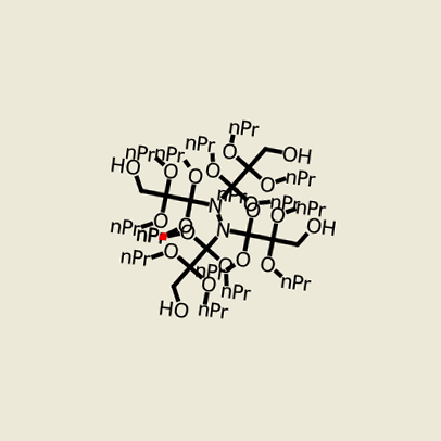 CCCOC(CO)(OCCC)C(OCCC)(OCCC)N(N(C(OCCC)(OCCC)C(CO)(OCCC)OCCC)C(OCCC)(OCCC)C(CO)(OCCC)OCCC)C(OCCC)(OCCC)C(CO)(OCCC)OCCC